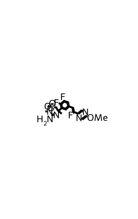 COc1cnc(C(F)=Cc2cc(F)c(F)c(C3(C)CS(=O)(=O)N(C)C(N)=N3)c2)cn1